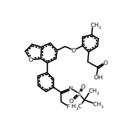 Cc1ccc(CC(=O)O)c(OCc2cc(-c3cccc(C(CF)=NS(=O)(=O)C(C)(C)C)c3)c3occc3c2)c1